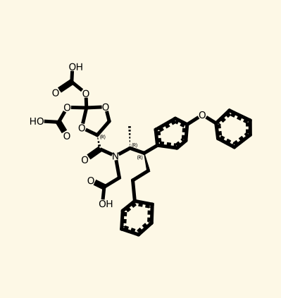 C[C@H]([C@H](CCc1ccccc1)c1ccc(Oc2ccccc2)cc1)N(CC(=O)O)C(=O)[C@H]1COC(OC(=O)O)(OC(=O)O)O1